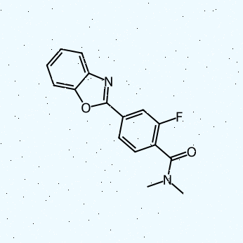 CN(C)C(=O)c1ccc(-c2nc3ccccc3o2)cc1F